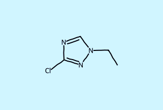 CCn1cnc(Cl)n1